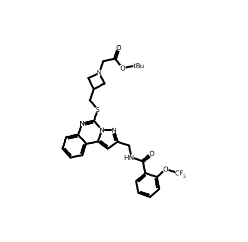 CC(C)(C)OC(=O)CN1CC(CSc2nc3ccccc3c3cc(CNC(=O)c4ccccc4OC(F)(F)F)nn23)C1